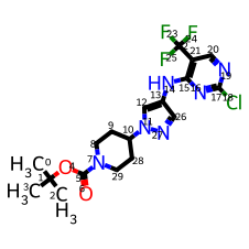 CC(C)(C)OC(=O)N1CCC(n2cc(Nc3nc(Cl)ncc3C(F)(F)F)cn2)CC1